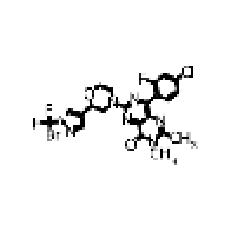 Cc1nc2c(-c3ccc(Cl)cc3F)nc(N3CCOC(c4cnn(C(F)(F)Br)c4)C3)nc2c(=O)n1C